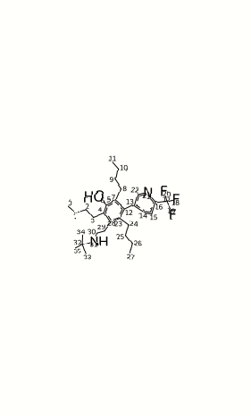 CCCCc1c(O)c(CCCC)c(-c2ccc(C(F)(F)F)nc2)c(CCCC)c1CCNC(C)(C)C